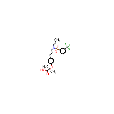 CCCN(CCCc1ccc(OC(C)(C)C(=O)O)cc1)S(=O)(=O)c1cccc(C(F)(F)F)c1